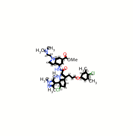 COC(=O)c1cc(NC(=O)c2[nH]c3c(-c4c(C)nn(C)c4C)c(Cl)ccc3c2CCCOc2cc(C)c(Cl)c(C)c2)c2ccn(CCN(C)C)c2c1